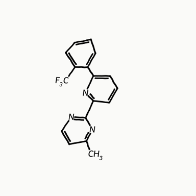 Cc1ccnc(-c2cccc(-c3ccccc3C(F)(F)F)n2)n1